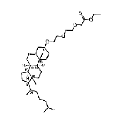 CCOC(=O)COCCOCCO[C@H]1CC[C@@]2(C)C(=CC[C@H]3[C@@H]4CC[C@H]([C@H](C)CCCC(C)C)[C@@]4(C)CC[C@@H]32)C1